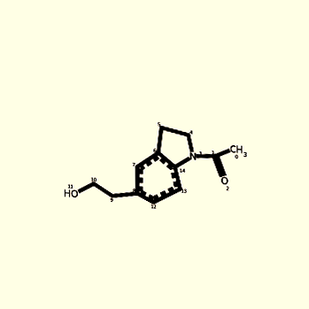 CC(=O)N1CCc2cc(CCO)ccc21